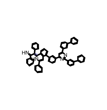 N=C(/C(=C1\NC(c2ccccc2)=Cc2c1cccc2-c1cccc(-c2cc(-c3cccc(-c4ccccc4)c3)nc(-c3cccc(-c4ccccc4)c3)n2)c1)c1ccccc1)c1ccccc1